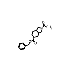 CC(=O)N1CC2CCN(C(=O)OCc3ccccc3)CC2C1